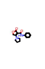 O=C(Nc1ccccc1)C1=C(N2CCCC2)COC1=O